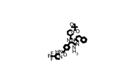 CC1(C(=O)N2CCCC(c3nc(-c4ccc(C(=O)Nc5cc(C(F)(F)F)ccn5)cc4)c4c(N)ncc(C=Cc5ccccc5)n34)C2)COC1